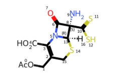 CC(=O)OCC1=C(C(=O)O)N2C(=O)[C@@](N)(C(=S)S)[C@H]2SC1